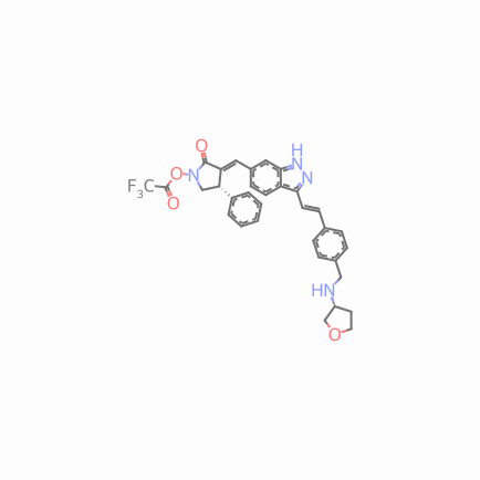 O=C1/C(=C/c2ccc3c(/C=C/c4ccc(CN[C@H]5CCOC5)cc4)n[nH]c3c2)[C@H](c2ccccc2)CN1OC(=O)C(F)(F)F